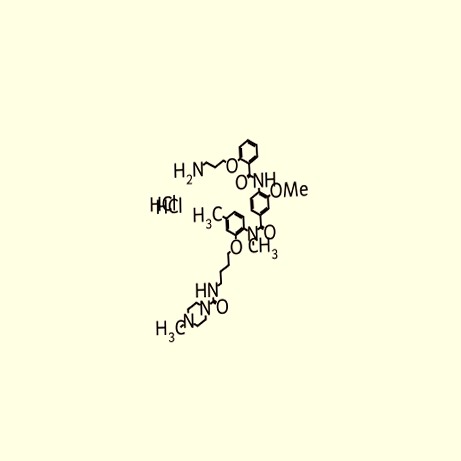 COc1cc(C(=O)N(C)c2ccc(C)cc2OCCCCNC(=O)N2CCN(C)CC2)ccc1NC(=O)c1ccccc1OCCCN.Cl.Cl